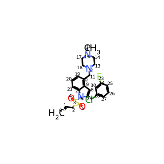 C=CCS(=O)(=O)n1ccc2c(CN3CCN(C)CC3)cccc21.Fc1cccc(Cl)c1